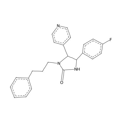 O=C1NC(c2ccc(F)cc2)C(c2ccncc2)N1CCCc1ccccc1